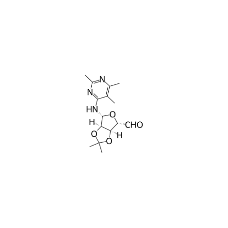 Cc1nc(C)c(C)c(N[C@@H]2O[C@H](C=O)[C@H]3OC(C)(C)O[C@H]32)n1